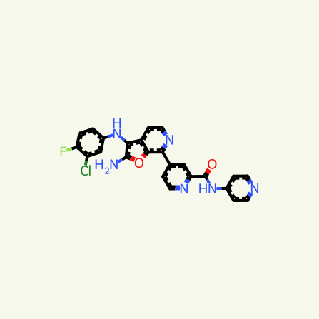 Nc1oc2c(-c3ccnc(C(=O)Nc4ccncc4)c3)nccc2c1Nc1ccc(F)c(Cl)c1